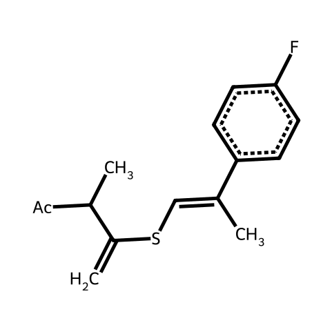 C=C(S/C=C(\C)c1ccc(F)cc1)C(C)C(C)=O